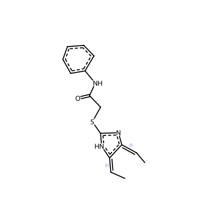 C/C=c1/nc(SCC(=O)Nc2ccccc2)[nH]/c1=C/C